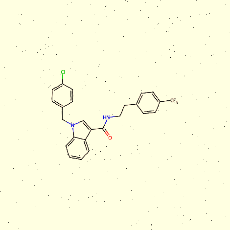 O=C(NCCc1ccc(C(F)(F)F)cc1)c1cn(Cc2ccc(Cl)cc2)c2ccccc12